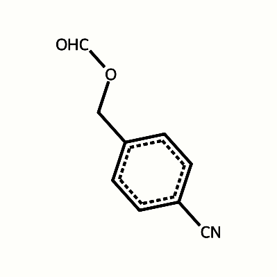 N#Cc1ccc(COC=O)cc1